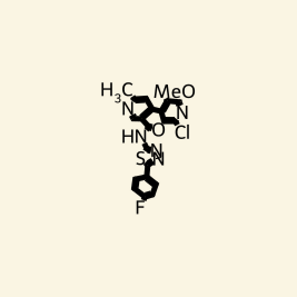 COc1cnc(Cl)cc1-c1cc(C)ncc1C(=O)Nc1nnc(-c2ccc(F)cc2)s1